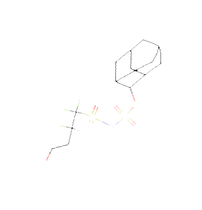 O=S(=O)(NS(=O)(=O)C(F)(F)C(F)(F)CCO)OC1C2CC3CC(C2)CC1C3